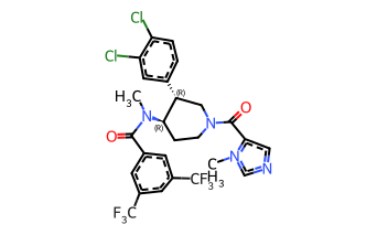 CN(C(=O)c1cc(C(F)(F)F)cc(C(F)(F)F)c1)[C@@H]1CCN(C(=O)c2cncn2C)C[C@H]1c1ccc(Cl)c(Cl)c1